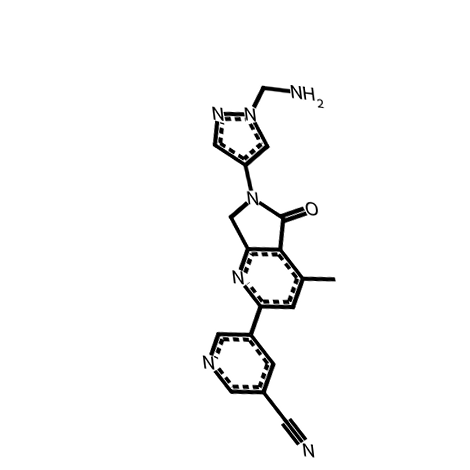 Cc1cc(-c2cncc(C#N)c2)nc2c1C(=O)N(c1cnn(CN)c1)C2